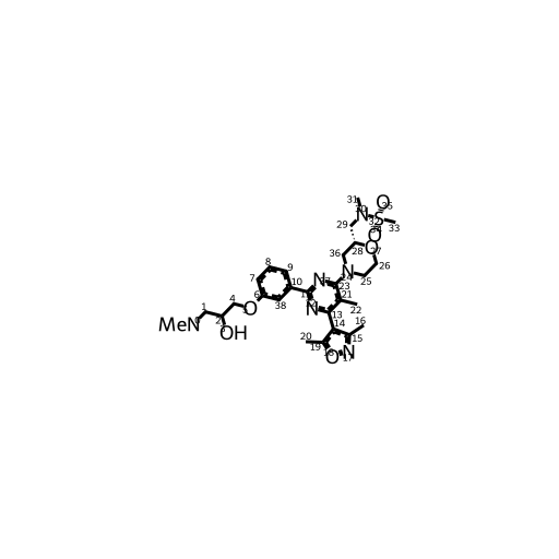 CNCC(O)COc1cccc(-c2nc(-c3c(C)noc3C)c(C)c(N3CCO[C@@H](CN(C)S(C)(=O)=O)C3)n2)c1